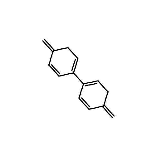 C=C1C=CC(C2=CCC(=C)C=C2)=CC1